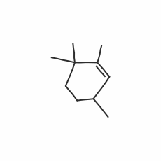 CC1=CC(C)CCC1(C)C